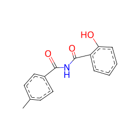 Cc1ccc(C(=O)NC(=O)c2ccccc2O)cc1